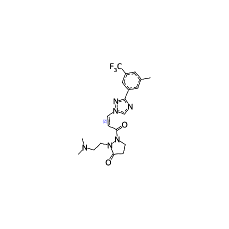 Cc1cc(-c2ncn(/C=C\C(=O)N3CCC(=O)N3CCN(C)C)n2)cc(C(F)(F)F)c1